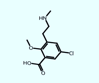 CNCCc1cc(Cl)cc(C(=O)O)c1OC